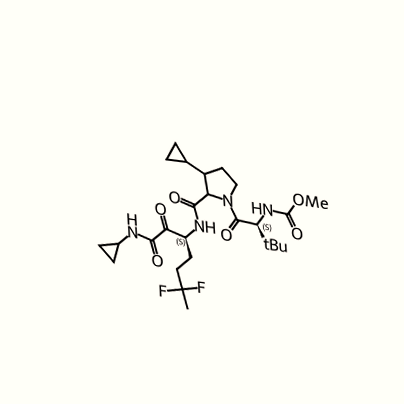 COC(=O)N[C@H](C(=O)N1CCC(C2CC2)C1C(=O)N[C@@H](CCC(C)(F)F)C(=O)C(=O)NC1CC1)C(C)(C)C